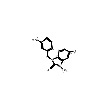 COc1cccc(Cn2c(=O)n(C)c3cc(Cl)ccc32)c1